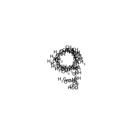 C=CC(=O)N1CCN(c2nc(NCCC(=O)NCCNC(=O)CCC[C@@H](C)[C@@H](O)[C@H]3CN[C@@H](CC)C(=O)N(C)CC(=O)N(C)[C@@H](CC(C)C)C(=O)N[C@@H](C(C)C)C(=O)N(C)[C@@H](CC(C)C)C(=O)N[C@@H](C)C(=O)N[C@H](C)C(=O)N(C)[C@@H](CC(C)C)C(=O)N(C)[C@@H](CC(C)C)C(=O)N(C)[C@@H](C(C)C)C(=O)N3C)nc3c(F)c(-c4c(O)cccc4F)c(Cl)cc23)CC1